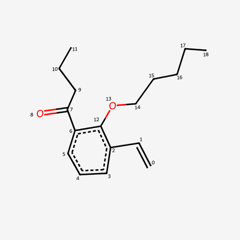 C=Cc1cccc(C(=O)CCC)c1OCCCCC